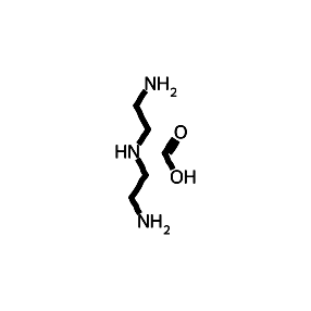 NCCNCCN.O=CO